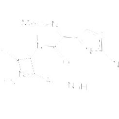 CO/N=C(\C(=O)NC1C(=O)N(S(=O)(=O)O)C1C(C)=O)c1csc(N)n1.[NaH]